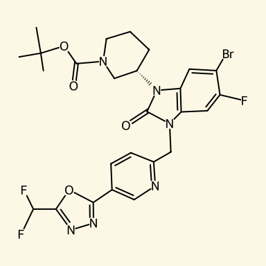 CC(C)(C)OC(=O)N1CCC[C@H](n2c(=O)n(Cc3ccc(-c4nnc(C(F)F)o4)cn3)c3cc(F)c(Br)cc32)C1